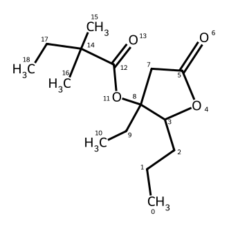 CCCC1OC(=O)CC1(CC)OC(=O)C(C)(C)CC